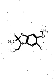 CCN1c2cc(C)c(OC)cc2SC1(C)I